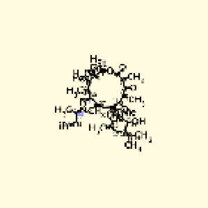 CC[C@H]1OC(=O)[C@H](C)C(=O)[C@H](C)[C@@H](OC2OC(C)CC(N(C)C)C2O)[C@](C)(OC)C[C@@H](C)/C(=N\N=C(/C)CC(C)C)[C@H](C)[C@@H](O)[C@]1(C)O